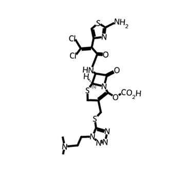 CN(C)CCn1nnnc1SCC1=C(OC(=O)O)N2C(=O)C(NC(=O)C(=C(Cl)Cl)c3csc(N)n3)[C@@H]2SC1